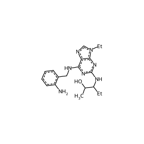 CCC(Nc1nc(NCc2ccccc2N)c2ncn(CC)c2n1)C(C)O